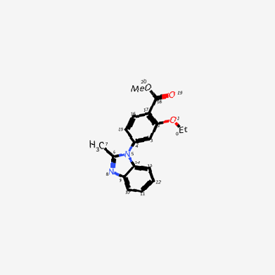 CCOc1cc(-n2c(C)nc3ccccc32)ccc1C(=O)OC